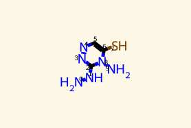 NNC1N=NC=C(S)N1N